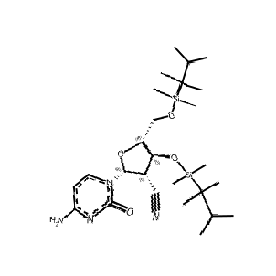 CC(C)C(C)(C)[Si](C)(C)OC[C@H]1O[C@@H](n2ccc(N)nc2=O)[C@@H](C#N)[C@@H]1O[Si](C)(C)C(C)(C)C(C)C